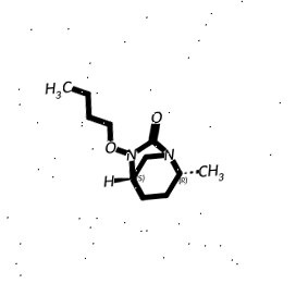 CCCCON1C(=O)N2C[C@@H]1CC[C@H]2C